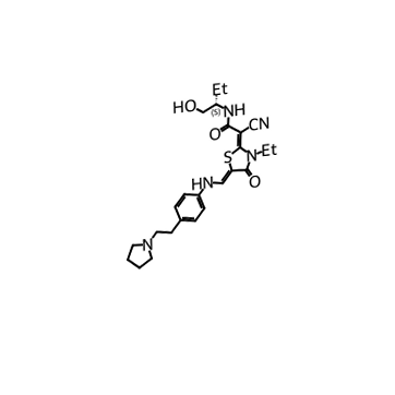 CC[C@@H](CO)NC(=O)C(C#N)=c1sc(=CNc2ccc(CCN3CCCC3)cc2)c(=O)n1CC